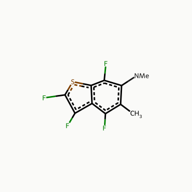 CNc1c(C)c(F)c2c(F)c(F)sc2c1F